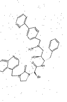 CC[C@H](C)[C@@H](C(=O)N[C@@H](Cc1ccccc1)[C@@H](O)CN(N)Cc1ccc(-c2ccccn2)cc1)N1CCN(Cc2ccnc3ccccc23)C1=O